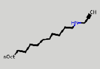 C#CCNCCCCCCCCCCCCCCCCCC